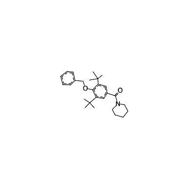 CC(C)(C)c1cc(C(=O)N2CCCCC2)cc(C(C)(C)C)c1OCc1ccccc1